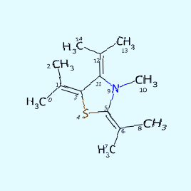 CC(C)=C1SC(=C(C)C)N(C)C1=C(C)C